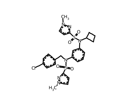 Cn1ccc(S(=O)(=O)N(Cc2ccc(Cl)cc2)c2cccc(N(C3CCC3)S(=O)(=O)c3ccn(C)n3)c2)n1